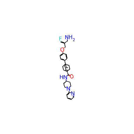 NCC(=CF)COc1ccc(C23CCC(C(=O)NC4CCN(c5ccccn5)CC4)(CC2)CC3)cc1